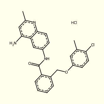 Cc1cc(N)c2cc(NC(=O)c3ccccc3COc3ccc(Cl)c(C)c3)ccc2n1.Cl